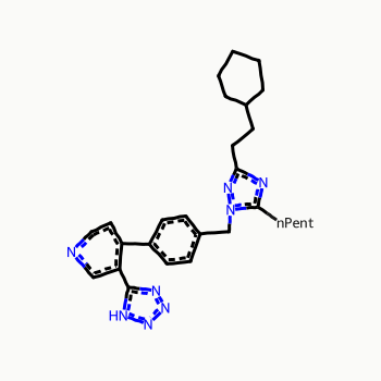 CCCCCc1nc(CCC2CCCCC2)nn1Cc1ccc(-c2ccncc2-c2nnn[nH]2)cc1